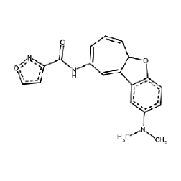 CN(C)c1ccc2c(c1)C1=CC(NC(=O)c3ccon3)=CC=CC1O2